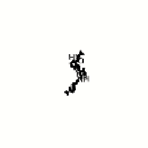 Cc1cnc(NCCCN2CC[C@@H](C(C)C)C2)nc1-c1cc2c(C(=O)NC3CC3)cccc2s1